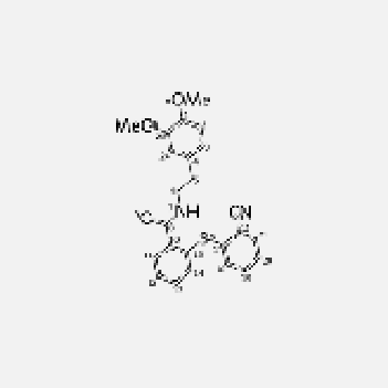 COc1ccc(CCNC(=O)c2ccccc2Sc2ccccc2C#N)cc1OC